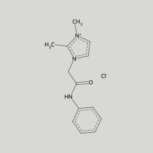 Cc1n(CC(=O)Nc2ccccc2)cc[n+]1C.[Cl-]